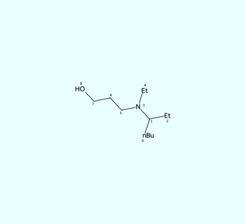 CCCCC(CC)N(CC)CCCO